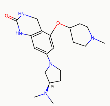 CN1CCC(Oc2cc(N3CC[C@@H](N(C)C)C3)cc3c2CNC(=O)N3)CC1